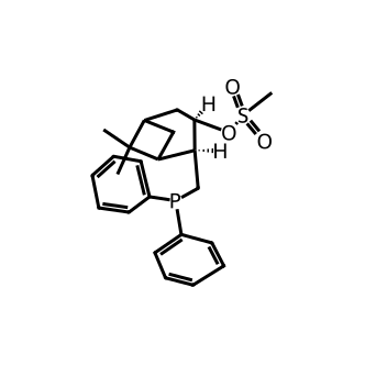 CC1(C)C2CC1[C@H](CP(c1ccccc1)c1ccccc1)[C@H](OS(C)(=O)=O)C2